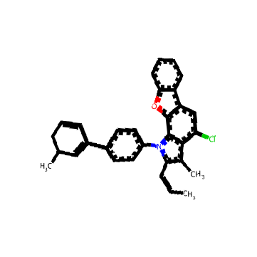 C/C=C\c1c(C)c2c(Cl)cc3c4ccccc4oc3c2n1-c1ccc(C2=CC(C)CC=C2)cc1